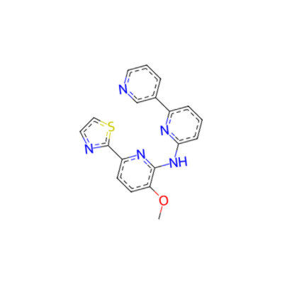 COc1ccc(-c2nccs2)nc1Nc1cccc(-c2cccnc2)n1